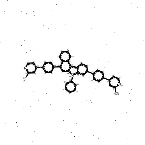 N#Cc1cc(-c2ccc(-c3ccc4c5c6ccccc6c(-c6ccc(-c7ccnc(C#N)c7)cc6)cc5n(-c5ccccc5)c4c3)cc2)ccn1